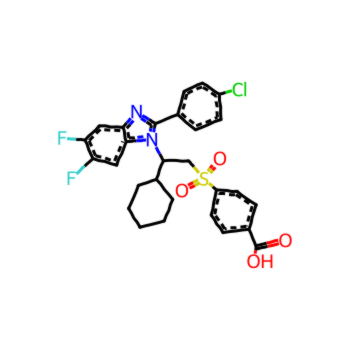 O=C(O)c1ccc(S(=O)(=O)CC(C2CCCCC2)n2c(-c3ccc(Cl)cc3)nc3cc(F)c(F)cc32)cc1